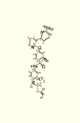 CNc1nccc(-c2cccnc2Oc2ccc(C(=O)Nc3ccc(N(C)C4CCN(C)C4)c(C(F)(F)F)c3)c(Br)c2)n1